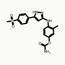 Cc1cc(OC(N)=O)ccc1Nc1cc(-c2ccc(S(C)(=O)=O)cc2)[nH]n1